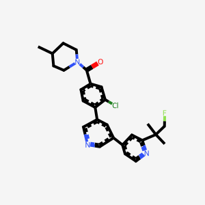 CC1CCN(C(=O)c2ccc(-c3cncc(-c4ccnc(C(C)(C)CF)c4)c3)c(Cl)c2)CC1